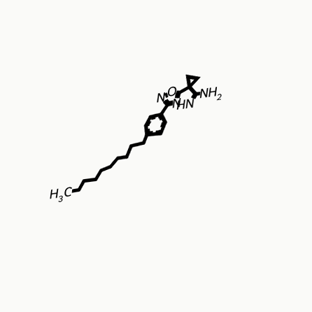 CCCCCCCCCCc1ccc(-c2noc(C3(C(=N)N)CC3)n2)cc1